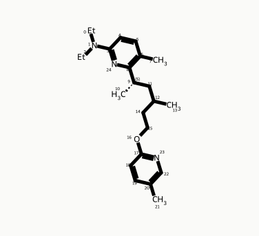 CCN(CC)c1ccc(C)c([C@@H](C)CC(C)CCOc2ccc(C)cn2)n1